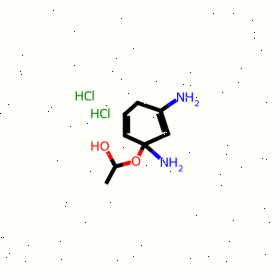 CC(O)OC1(N)C=CCC(N)=C1.Cl.Cl